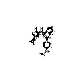 CS(=O)(=O)NC1CCN(c2nc(Nc3cc(C4CC4)n[nH]3)n3cccc3n2)CC1